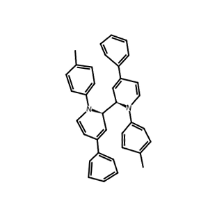 Cc1ccc(N2C=CC(c3ccccc3)=C[C@@H]2[C@H]2C=C(c3ccccc3)C=CN2c2ccc(C)cc2)cc1